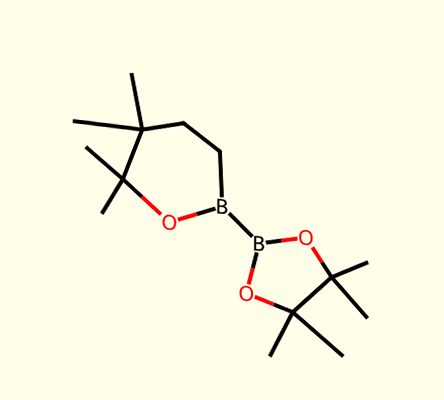 CC1(C)CCB(B2OC(C)(C)C(C)(C)O2)OC1(C)C